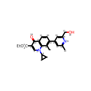 CCOC(=O)c1cn(C2CC2)c2c(C)c(-c3cc(C)nc(CO)c3)ccc2c1=O